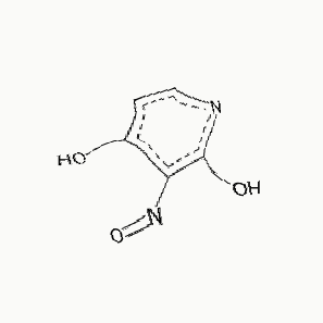 O=Nc1c(O)ccnc1O